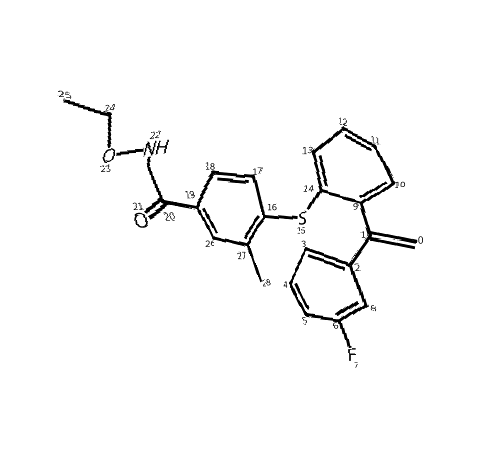 C=C(c1cccc(F)c1)c1ccccc1Sc1ccc(C(=O)NOCC)cc1C